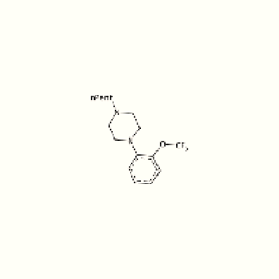 [CH2]CCCCN1CCN(c2ccccc2OC(F)(F)F)CC1